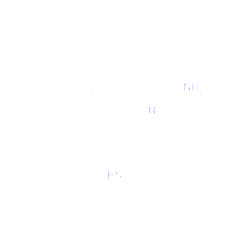 CC(=N)/C(=C(C)\N=C(/C)N)c1ccccc1N